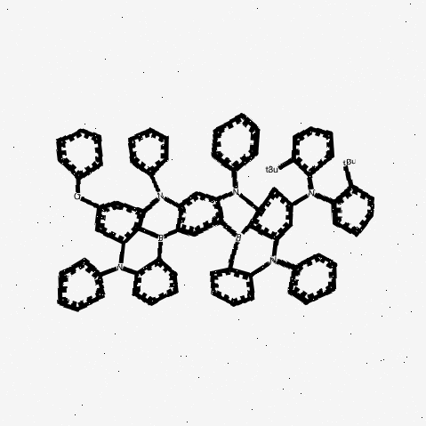 CC(C)(C)c1ccccc1N(c1cc2c3c(c1)N(c1ccccc1)c1cc4c(cc1B3c1ccccc1N2c1ccccc1)B1c2ccccc2N(c2ccccc2)c2cc(Oc3ccccc3)cc(c21)N4c1ccccc1)c1ccccc1C(C)(C)C